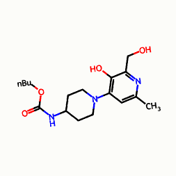 CCCCOC(=O)NC1CCN(c2cc(C)nc(CO)c2O)CC1